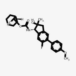 COc1ccc(-c2cc3c(cc2F)[C@H](NC(=O)O[C@@H]2CN4CCC2CC4)C(C)(C)C3)cc1